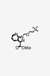 COC(=O)c1nn(COCC[Si](C)(C)C)c2ncccc12